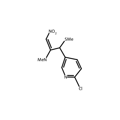 CN/C(=C/[N+](=O)[O-])C(SC)c1ccc(Cl)nc1